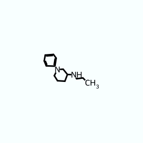 CCCNC1CCCN(c2ccccc2)C1